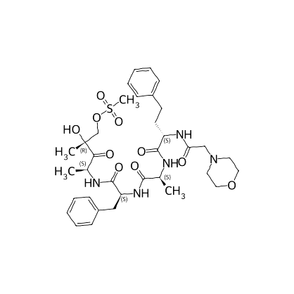 C[C@H](NC(=O)[C@H](CCc1ccccc1)NC(=O)CN1CCOCC1)C(=O)N[C@@H](Cc1ccccc1)C(=O)N[C@@H](C)C(=O)[C@](C)(O)COS(C)(=O)=O